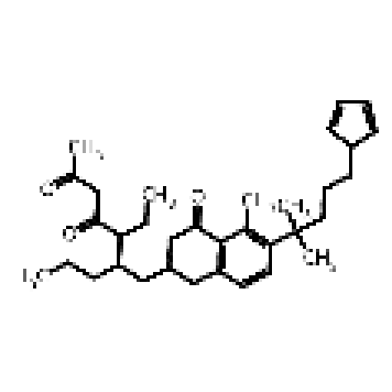 CCCC(CC1CC(=O)c2c(ccc(C(C)(C)CCCC3C=CC=C3)c2C)C1)C(CC)C(=O)CC(C)=O